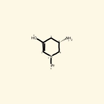 CC(C)N1C=C(O)C[C@H](N)C1